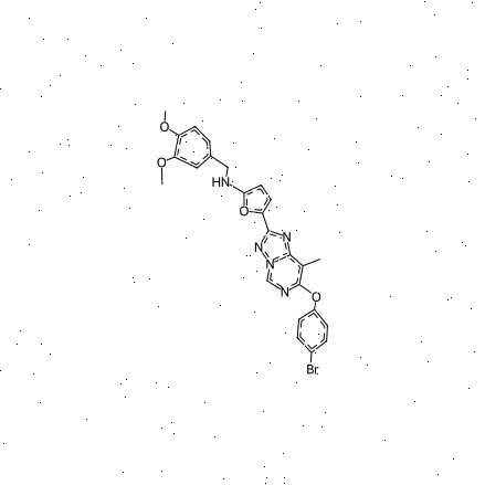 COc1ccc(CNc2ccc(-c3nc4c(C)c(Oc5ccc(Br)cc5)ncn4n3)o2)cc1OC